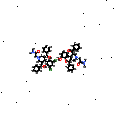 CN(C)C(=O)CN1CC(C(=O)c2ccccc2)C(c2cc(Cl)cc(Cl)c2)C(C(=O)c2ccccc2)C1.COc1cccc(C2C(C(=O)c3ccccc3)CN(CC(=O)N(C)C)CC2C(=O)c2ccccc2)c1